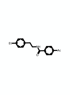 CCc1ccc(CCNC(=O)c2ccc(C(C)=O)cc2)cc1